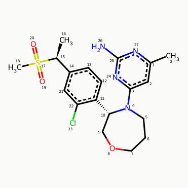 Cc1cc(N2CCCOC[C@@H]2c2ccc([C@H](C)S(C)(=O)=O)cc2Cl)nc(N)n1